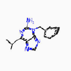 CC(C)c1nc(N)n(Cc2ccccc2)c2ncnc1-2